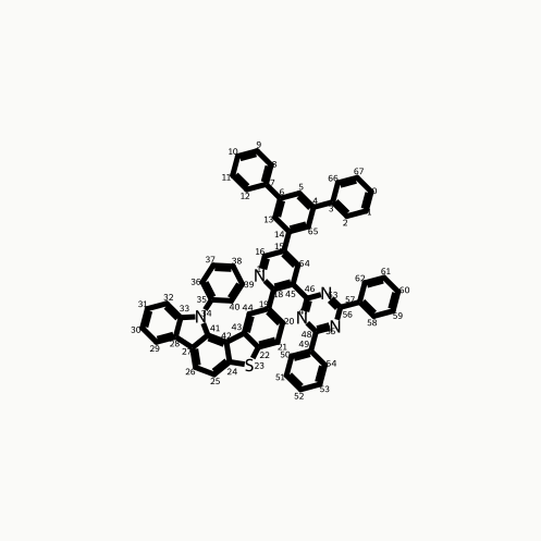 c1ccc(-c2cc(-c3ccccc3)cc(-c3cnc(-c4ccc5sc6ccc7c8ccccc8n(-c8ccccc8)c7c6c5c4)c(-c4nc(-c5ccccc5)nc(-c5ccccc5)n4)c3)c2)cc1